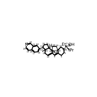 CC[N+](O)(C(C)C)[C@@H]1CCC2=CC3=CC[C@]4(C)[C@@H](c5ccc6ccncc6c5)CC[C@H]4[C@@]34CC[C@]2(C1)O4